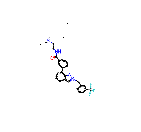 CN(C)CCNC(=O)c1cccc(-c2cccc3cn(Cc4cccc(C(F)(F)F)c4)nc23)c1